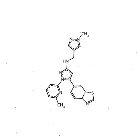 Cc1cccc(-n2nc(NCc3cnn(C)c3)cc2C2=CC3SC=NC3C=C2)n1